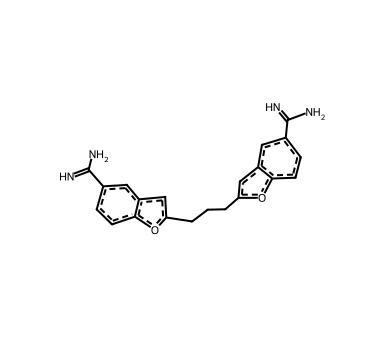 N=C(N)c1ccc2oc(CCCc3cc4cc(C(=N)N)ccc4o3)cc2c1